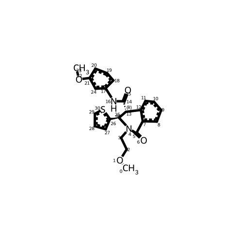 COCCN1C(=O)c2ccccc2[C@@H](C(=O)Nc2cccc(OC)c2)[C@@H]1c1cccs1